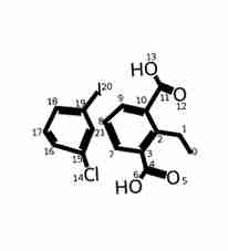 CCc1c(C(=O)O)cccc1C(=O)O.Clc1cccc(I)c1